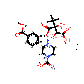 CC(C)(C)C(O)(C(=O)O)C(O)C(=O)O.COC(=O)c1ccc([C@H]2CN(C(=O)O)CCN2)cc1